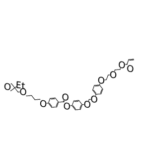 C=CC(=O)OCCOCCOc1ccc(OCOc2ccc(OC(=O)c3ccc(OCCCCOCC4(CC)COC4)cc3)cc2)cc1